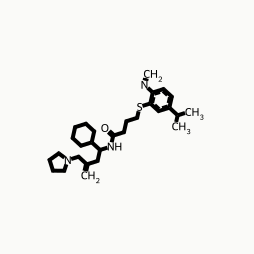 C=Nc1ccc(C(C)C)cc1SCCCC(=O)NC(CC(=C)CN1CCCC1)C1CCCCC1